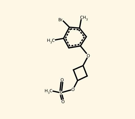 Cc1cc(OC2CC(OS(C)(=O)=O)C2)cc(C)c1Br